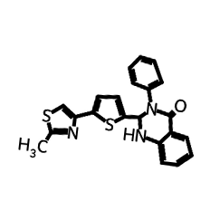 Cc1nc(-c2ccc(C3Nc4ccccc4C(=O)N3c3ccccc3)s2)cs1